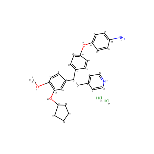 COc1ccc([C@@H](Cc2ccncc2)c2ccc(Oc3ccc(N)cc3)cc2)cc1OC1CCCC1.Cl.Cl